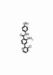 CCCCc1ccc(NC(=O)c2ccc(-c3ncccc3Cl)cc2N)cc1